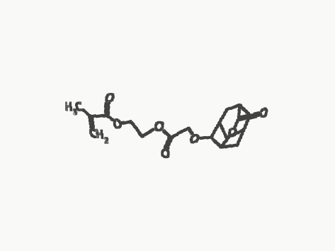 C=C(C)C(=O)OCCOC(=O)COC1C2CC3CC(C2)C(=O)OC1C3